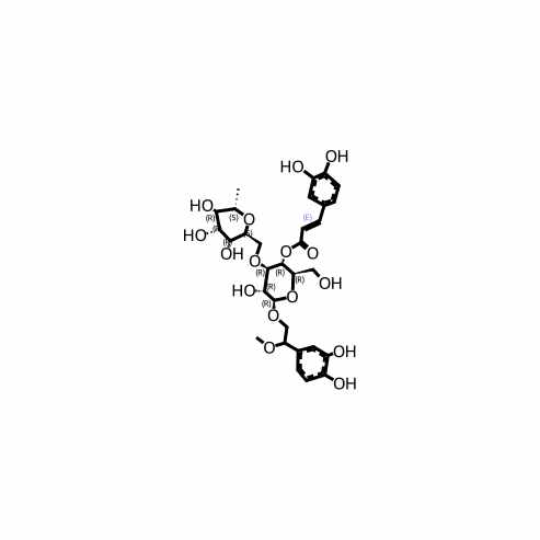 COC(CO[C@@H]1O[C@H](CO)[C@@H](OC(=O)/C=C/c2ccc(O)c(O)c2)[C@H](OC[C@@H]2O[C@@H](C)[C@H](O)[C@@H](O)[C@H]2O)[C@H]1O)c1ccc(O)c(O)c1